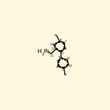 Cc1ccc(-c2ccc(C)cc2CP)cc1